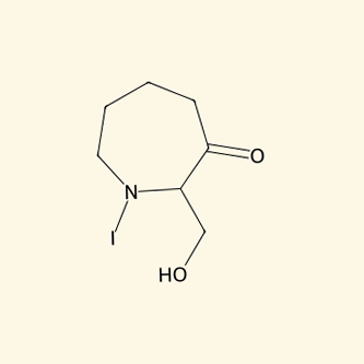 O=C1CCCCN(I)C1CO